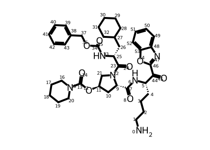 NCCCC[C@H](NC(=O)[C@@H]1C[C@@H](OC(=O)N2CCCCC2)CN1C(=O)[C@@H](CC1CCCCC1)NC(=O)OCc1ccccc1)C(=O)c1nc2ccccc2o1